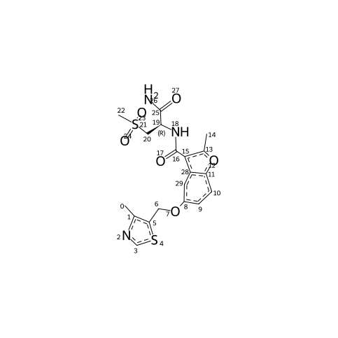 Cc1ncsc1COc1ccc2oc(C)c(C(=O)N[C@@H](CS(C)(=O)=O)C(N)=O)c2c1